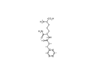 NC(=O)C(CCCC(N)C(=O)O)NC(=O)OCc1ccccc1